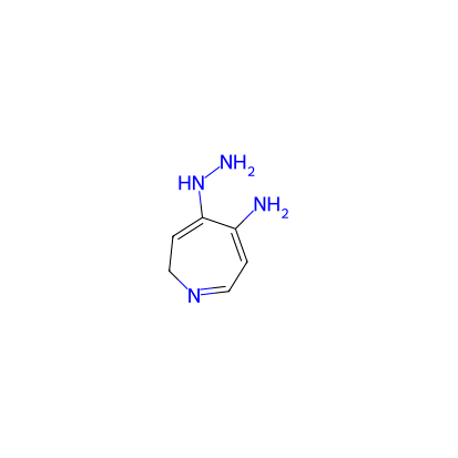 NNC1=CCN=CC=C1N